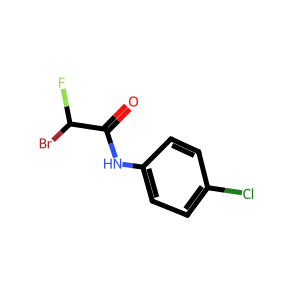 O=C(Nc1ccc(Cl)cc1)C(F)Br